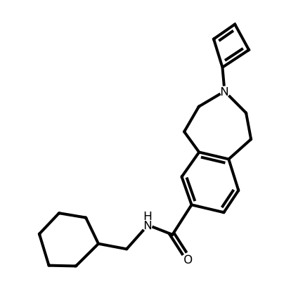 O=C(NCC1CCCCC1)c1ccc2c(c1)CCN(C1=CC=C1)CC2